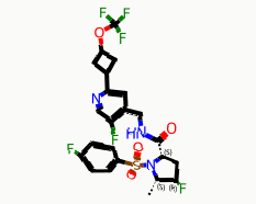 C[C@H]1[C@H](F)C[C@@H](C(=O)NCc2cc(C3CC(OC(F)(F)F)C3)ncc2F)N1S(=O)(=O)c1ccc(F)cc1